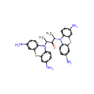 CC(C(=O)C(C)N1c2ccc(N)cc2Sc2cc(N)ccc21)N1c2ccc(N)cc2Sc2cc(N)ccc21